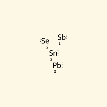 [Pb].[Sb].[Se].[Sn]